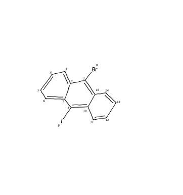 Brc1c2ccccc2c(I)c2ccccc12